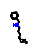 C=CCCCNCc1ccccc1